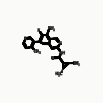 Cc1ccncc1-c1cc2cc(NC(=O)C3[C@@H](C)[C@@H]3C)ncc2c(N)c1F